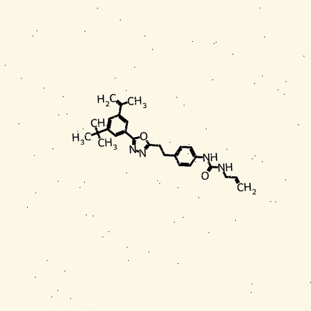 C=CCNC(=O)Nc1ccc(CCc2nnc(-c3cc(C(=C)C)cc(C(C)(C)C)c3)o2)cc1